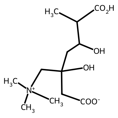 CC(C(=O)O)C(O)CC(O)(CC(=O)[O-])C[N+](C)(C)C